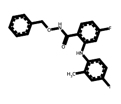 Cc1cc(I)ccc1Nc1cc(F)ccc1C(=O)NOCc1ccccc1